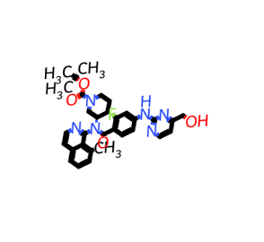 Cc1cccc2ccnc(N(C(=O)c3ccc(Nc4nccc(CO)n4)cc3F)[C@@H]3CCCN(C(=O)OC(C)(C)C)C3)c12